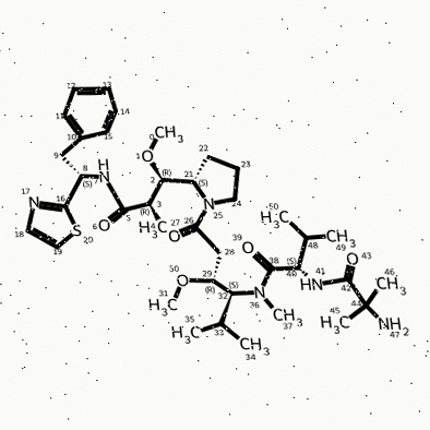 CO[C@H]([C@@H](C)C(=O)N[C@@H](Cc1ccccc1)c1nccs1)[C@@H]1CCCN1C(=O)C[C@@H](OC)[C@H](C(C)C)N(C)C(=O)[C@@H](NC(=O)C(C)(C)N)C(C)C